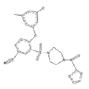 Cc1cc(Cl)cc(Oc2ccc(C#N)cc2S(=O)(=O)N2CCN(C(=O)c3ccco3)CC2)c1